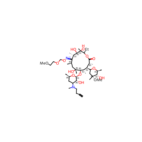 C#CCCN(C)C1C[C@@H](C)O[C@@H](O[C@@H]2[C@@H](C)[C@H](C3C[C@@](C)(OC)[C@@H](O)[C@H](C)O3)[C@@H](C)C(=O)OC(CC)[C@@](C)(O)[C@H](O)[C@@H](C)/C(=N/OCOCCOC)[C@H](C)C[C@@]2(C)O)[C@@H]1O